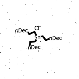 CCCCCCCCCCC[CH2][Sn+]([CH2]CCCCCCCCCCC)[CH2]CCCCCCCCCCC.[Cl-]